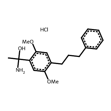 COc1cc(C(C)(N)O)c(OC)cc1CCCc1ccccc1.Cl